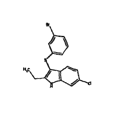 CCc1[nH]c2cc(Cl)ccc2c1Sc1cccc(Br)c1